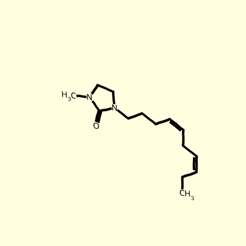 CC/C=C\C/C=C\CCCN1CCN(C)C1=O